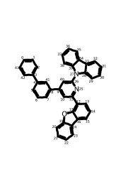 c1ccc(-c2cccc(-c3cc(-c4cccc5c4oc4ccccc45)nc(-n4c5ccccc5c5ccccc54)c3)c2)cc1